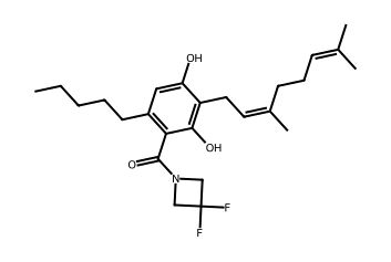 CCCCCc1cc(O)c(CC=C(C)CCC=C(C)C)c(O)c1C(=O)N1CC(F)(F)C1